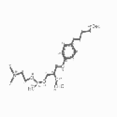 CCCCCCCCCCCCCCc1ccc(OCC(COP(O)OCCN(C)C)OC=O)cc1